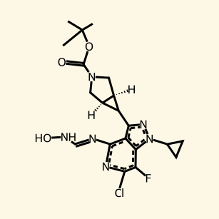 CC(C)(C)OC(=O)N1C[C@@H]2C(c3nn(C4CC4)c4c(F)c(Cl)nc(/N=C/NO)c34)[C@@H]2C1